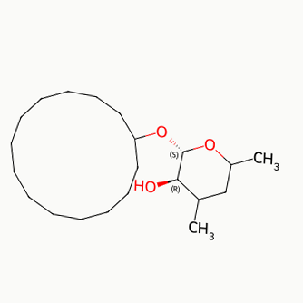 CC1CC(C)[C@@H](O)[C@H](OC2CCCCCCCCCCCCC2)O1